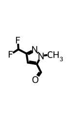 Cn1nc(C(F)F)cc1C=O